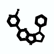 Fc1cc(-c2ccc3nc4n(c3n2)[C@@H](c2ccccc2)CC4)ccn1